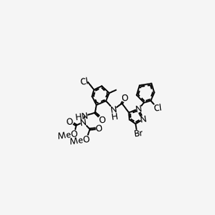 COC(=O)N(NC(=O)c1cc(Cl)cc(C)c1NC(=O)c1cc(Br)nn1-c1ccccc1Cl)C(=O)OC